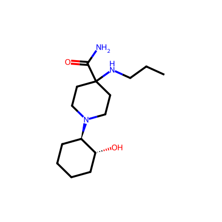 CCCNC1(C(N)=O)CCN([C@@H]2CCCC[C@H]2O)CC1